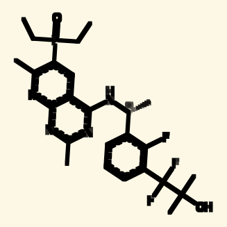 CCP(=O)(CC)c1cc2c(N[C@H](C)c3cccc(C(F)(F)C(C)(C)O)c3F)nc(C)nc2nc1C